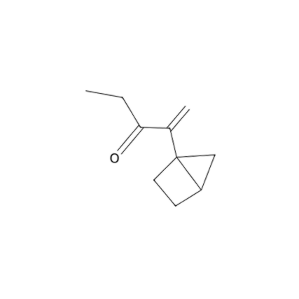 C=C(C(=O)CC)C12CCC1C2